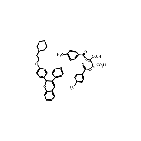 C1=C(c2ccccc2)C(c2ccc(OCCN3CCCCC3)cc2)Oc2ccccc21.Cc1ccc(C(=O)O[C@@H](C(=O)O)[C@@H](OC(=O)c2ccc(C)cc2)C(=O)O)cc1